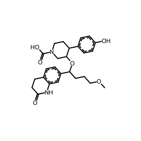 COCCCC(OC1CN(C(=O)O)CCC1c1ccc(O)cc1)c1ccc2c(c1)NC(=O)CC2